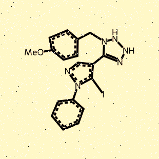 COc1ccc(CN2NNN=C2c2cnn(-c3ccccc3)c2I)cc1